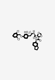 O=C(O)[C@H](Cc1ccc(OCc2c(Cl)cccc2Cl)cc1)NC(=O)[C@@H]1OCO[C@H]1C(=O)Nc1ccc2c(c1)CCC2